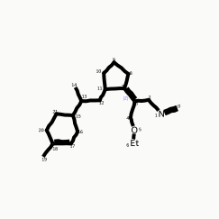 C=NC/C(COCC)=C1\CCCC1CC(C)C1CC=C(C)CC1